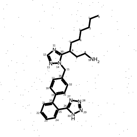 CCCCCCC(CCN)c1ncnn1Cc1ccc(-c2ccccc2-c2nnn[nH]2)cc1